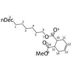 CCCCCCCCCCCCCCCCOC(=O)C1CC=CCC1C(=O)OC